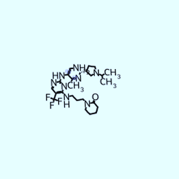 CC(=N/C[C@@H]1CCN(C(C)C)C1)/C(=C\N)Nc1ncc(C(F)(F)F)c(NCCCN2CCCCC2=O)n1